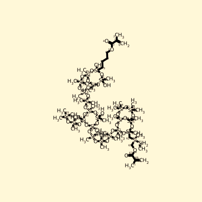 C=C(C)C(=O)OCCCC[Si]1(C)O[Si](C)(O)O[SiH](C)O[Si](C)(O[Si](C)(C)O[Si](C)(C)O[Si](C)(C)O[Si]2(C)O[Si](C)(O)O[Si](C)(O[Si](C)(C)O[Si](C)(C)O[Si](C)(C)O[Si]3(C)O[Si](C)(C[Si](C)(COC(=O)C(=C)C)[SiH2]C)O[Si]4(C)O[Si](C)(C)O[Si](C)(C)O[Si](C)(O3)O4)O[Si](C)(O[Si](C)(C)O[Si](C)(C)C)O2)O1